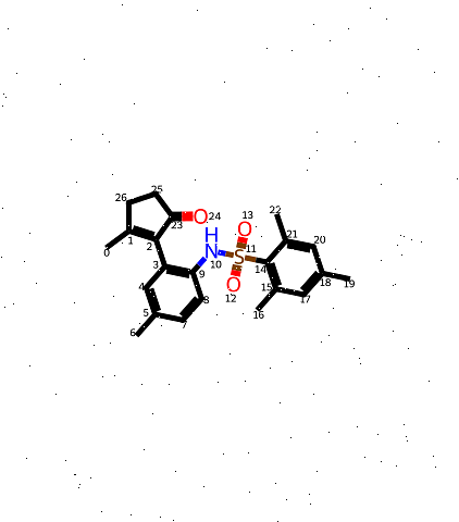 CC1=C(c2cc(C)ccc2NS(=O)(=O)c2c(C)cc(C)cc2C)C(=O)CC1